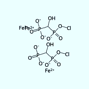 O=P([O-])([O-])C(O)P(=O)([O-])OCl.O=P([O-])([O-])C(O)P(=O)([O-])OCl.[Fe+2].[Fe+2].[Fe+2]